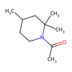 CC(=O)N1CCC(C)CC1(C)C